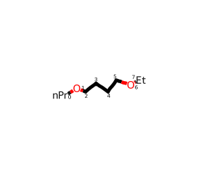 CCCOC[CH]CCOCC